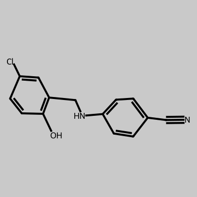 N#Cc1ccc(NCc2cc(Cl)ccc2O)cc1